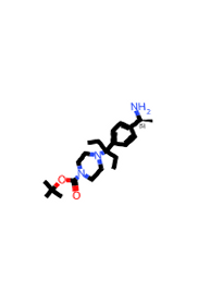 CCC(CC)(c1ccc([C@H](C)N)cc1)N1CCN(C(=O)OC(C)(C)C)CC1